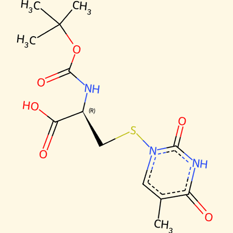 Cc1cn(SC[C@H](NC(=O)OC(C)(C)C)C(=O)O)c(=O)[nH]c1=O